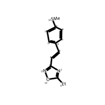 CCc1nc(C=Cc2ccc(SC)cc2)no1